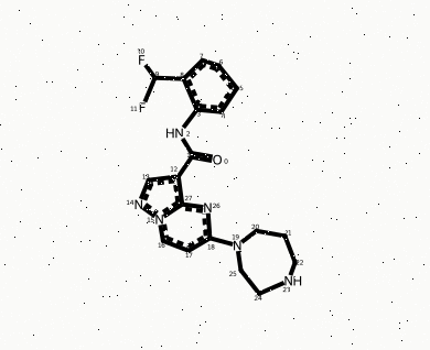 O=C(Nc1ccccc1C(F)F)c1cnn2ccc(N3CCCNCC3)nc12